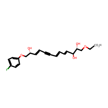 O=C(O)COC[C@@H](O)[C@@H](O)/C=C/C=C/C#C/C=C/[C@@H](O)COc1ccc(F)cc1